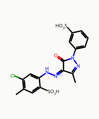 CC1=NN(c2cccc(S(=O)(=O)O)c2)C(=O)/C1=N\Nc1cc(Cl)c(C)cc1S(=O)(=O)O